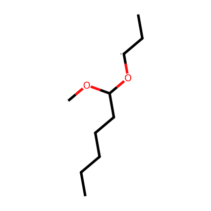 CC[CH]OC(CCCCC)OC